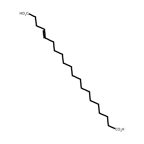 O=C(O)CC/C=C/CCCCCCCCCCCCCCC(=O)O